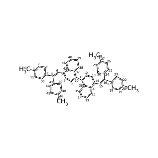 Cc1ccc(C(=Cc2ccc(-c3ccc(C=C(c4ccc(C)cc4)c4ccc(C)cc4)c4ccccc34)c3ccccc23)c2ccc(C)cc2)cc1